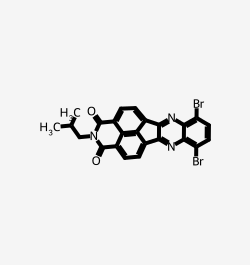 CC(C)CN1C(=O)c2ccc3c4c(ccc(c24)C1=O)-c1nc2c(Br)ccc(Br)c2nc1-3